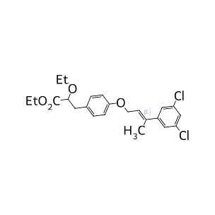 CCOC(=O)C(Cc1ccc(OC/C=C(\C)c2cc(Cl)cc(Cl)c2)cc1)OCC